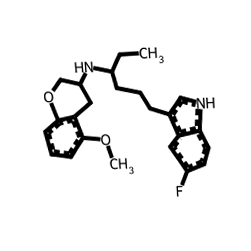 CCC(CCCc1c[nH]c2ccc(F)cc12)NC1COc2cccc(OC)c2C1